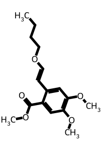 CCCCOC=Cc1cc(OC)c(OC)cc1C(=O)OC